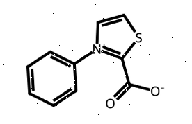 O=C([O-])c1scc[n+]1-c1ccccc1